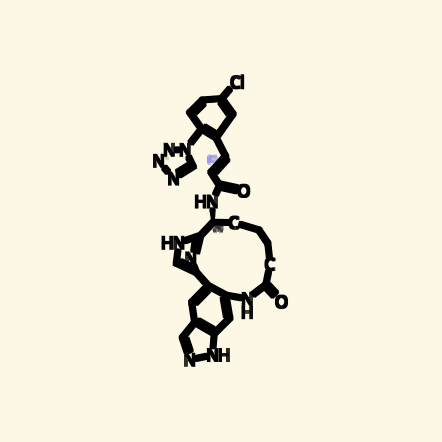 O=C(/C=C/c1cc(Cl)ccc1-n1cnnn1)N[C@H]1CCCCC(=O)Nc2cc3[nH]ncc3cc2-c2c[nH]c1n2